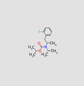 CC(C)OC(=O)N(C(C)C)C(C)Cc1ccccc1F